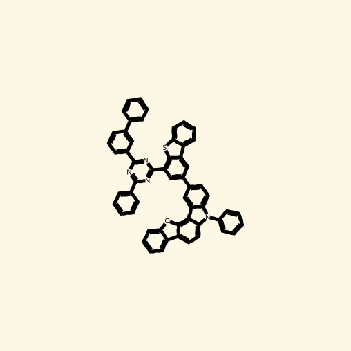 c1ccc(-c2cccc(-c3nc(-c4ccccc4)nc(-c4cc(-c5ccc6c(c5)c5c7oc8ccccc8c7ccc5n6-c5ccccc5)cc5c4sc4ccccc45)n3)c2)cc1